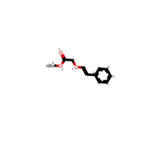 CCCCOC(=O)COC=Cc1ccccc1